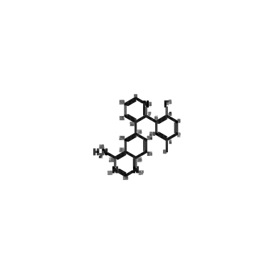 Cc1ccc(F)c(-c2ncccc2-c2ccc3ncnc(N)c3c2)c1